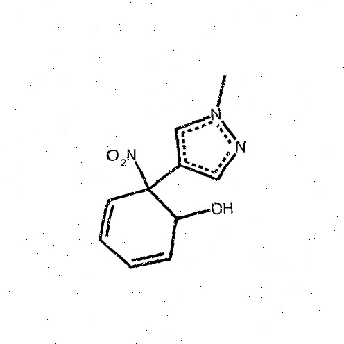 Cn1cc(C2([N+](=O)[O-])C=CC=CC2O)cn1